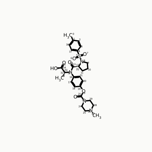 Cc1ccc(S(=O)(=O)N2CCC[C@H]2C(=O)N(c2ccc(OC(=O)N3CCN(C)CC3)cc2)[C@@H](C)C(=O)O)cc1